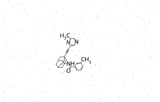 Cc1cccc(C(=O)NC23CC4CC(CC(C#Cc5cncc(C)n5)(C4)C2)C3)c1